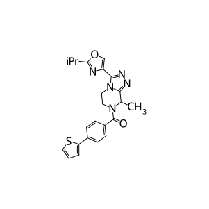 CC(C)c1nc(-c2nnc3n2CCN(C(=O)c2ccc(-c4cccs4)cc2)C3C)co1